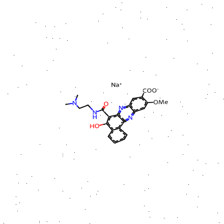 COc1cc2nc3c(nc2cc1C(=O)[O-])c(C(=O)NCCN(C)C)c(O)c1ccccc13.[Na+]